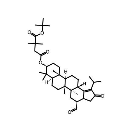 CC(C)C1=C2C(CC1=O)[C@@H](C=O)C[C@]1(C)[C@@H]2CC[C@@H]2[C@@]3(C)CC[C@H](OC(=O)CC(C)(C)C(=O)OC(C)(C)C)C(C)(C)[C@@H]3CC[C@]21C